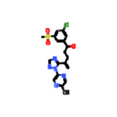 C=C(CCC(=O)c1cc(Cl)cc(S(C)(=O)=O)c1)c1ncnn1-c1cnc(C#N)cn1